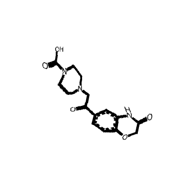 O=C1COc2ccc(C(=O)CN3CCN(C(=O)O)CC3)cc2N1